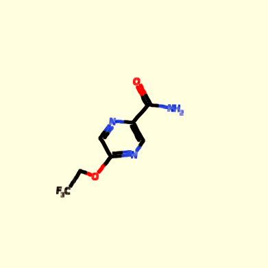 NC(=O)c1cnc(OCC(F)(F)F)cn1